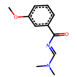 COc1cccc(C(=O)N=CN(C)C)c1